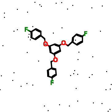 Fc1ccc(COc2cc(OCc3ccc(F)cc3)cc(OCc3ccc(F)cc3)c2)cc1